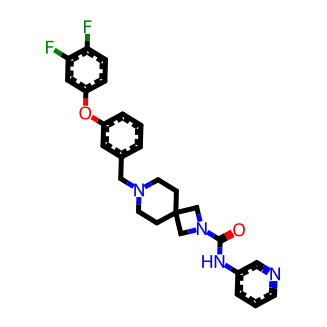 O=C(Nc1cccnc1)N1CC2(CCN(Cc3cccc(Oc4ccc(F)c(F)c4)c3)CC2)C1